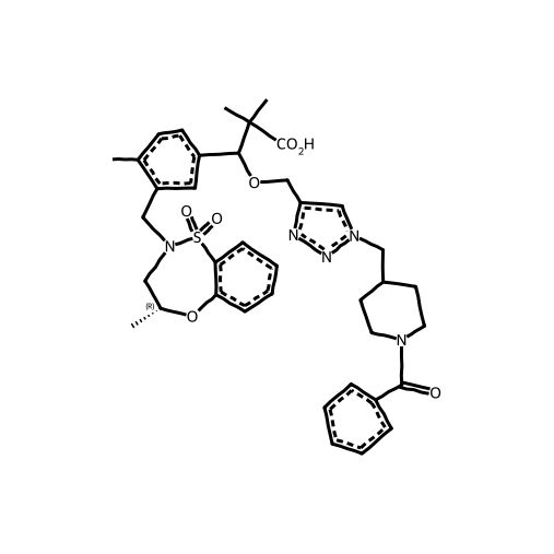 Cc1ccc(C(OCc2cn(CC3CCN(C(=O)c4ccccc4)CC3)nn2)C(C)(C)C(=O)O)cc1CN1C[C@@H](C)Oc2ccccc2S1(=O)=O